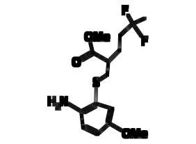 COC(=O)C(CCC(C)(F)F)CSc1cc(OC)ccc1N